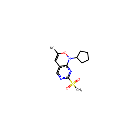 CS(=O)(=O)c1ncc2c(n1)N(C1CCCC1)OC(C#N)=C2